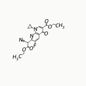 CCOC(=O)c1cn(C2CC2)c2nc(C(C#N)C(=O)OCC)c(F)cc2c1=O